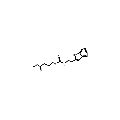 COC(=O)CCCSC(=S)NCCc1cc2ccccc2[nH]1